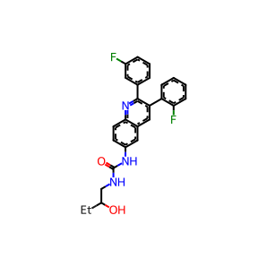 CCC(O)CNC(=O)Nc1ccc2nc(-c3cccc(F)c3)c(-c3ccccc3F)cc2c1